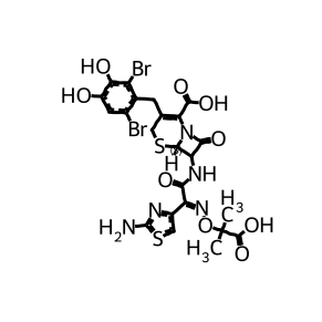 CC(C)(ON=C(C(=O)NC1C(=O)N2C(C(=O)O)=C(Cc3c(Br)cc(O)c(O)c3Br)CS[C@@H]12)c1csc(N)n1)C(=O)O